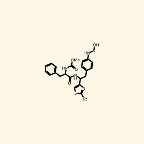 CCc1nc(C(Cc2ccc(NSO)cc2)NC(=O)C(Cc2ccccc2)NC(=O)OC)cs1